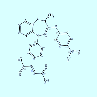 CN1Cc2ccccc2C(c2ccccc2)N=C1Cc1ccc([N+](=O)[O-])cc1.O=C(O)/C=C/C(=O)O